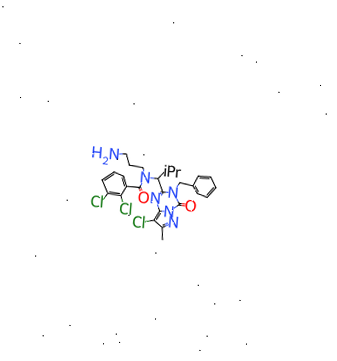 Cc1nn2c(=O)n(Cc3ccccc3)c(C(C(C)C)N(CCCN)C(=O)c3cccc(Cl)c3Cl)nc2c1Cl